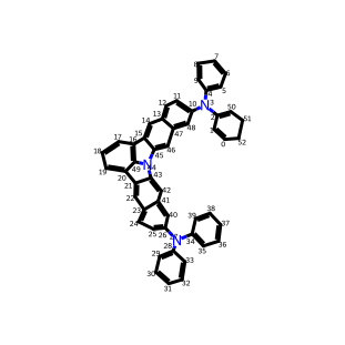 C1=CC(N(c2ccccc2)c2ccc3cc4c5cccc6c7cc8ccc(N(c9ccccc9)c9ccccc9)cc8cc7n(c4cc3c2)c56)=CCC1